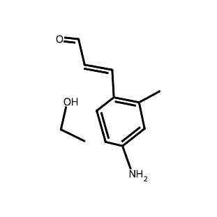 CCO.Cc1cc(N)ccc1C=CC=O